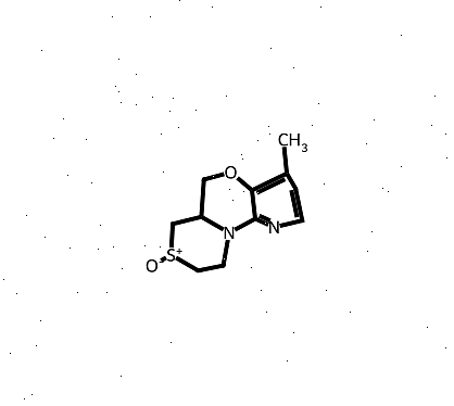 Cc1ccnc2c1OCC1C[S+]([O-])CCN21